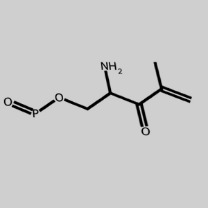 C=C(C)C(=O)C(N)COP=O